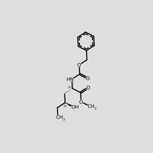 CC[C@H](O)C[C@H](NC(=O)OCc1ccccc1)C(=O)OC